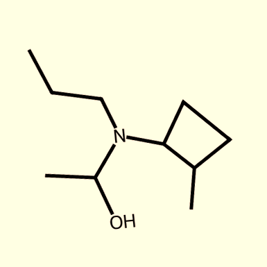 CCCN(C(C)O)C1CCC1C